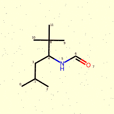 CC(C)CC(NC=O)C(C)(C)C